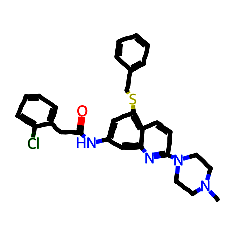 CN1CCN(c2ccc3c(SCc4ccccc4)cc(NC(=O)Cc4ccccc4Cl)cc3n2)CC1